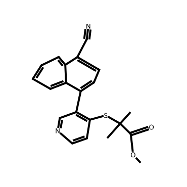 COC(=O)C(C)(C)Sc1ccncc1-c1ccc(C#N)c2ccccc12